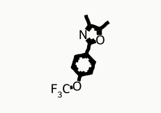 Cc1nc(-c2ccc(OC(F)(F)F)cc2)oc1C